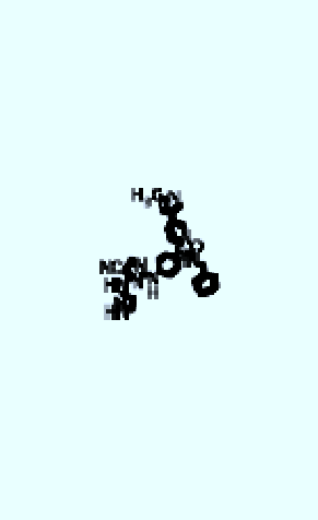 Cn1cc(-c2ccc(N(C(=O)NCc3ccccc3)[C@H]3CC[C@H](Nc4ncc(C#N)c(Nc5cc[nH]n5)n4)CC3)nc2)cn1